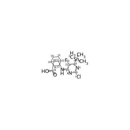 [CH3][Sn]([CH3])([CH3])[c]1nc(Cl)nc(NC2C3CCC(CC3)C2C(=O)O)c1F